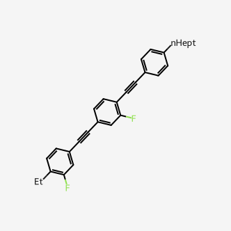 CCCCCCCc1ccc(C#Cc2ccc(C#Cc3ccc(CC)c(F)c3)cc2F)cc1